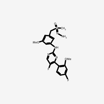 COc1cc(CS(C)(=O)=NN)cc(Nc2ncc(F)c(-c3ccc(F)cc3OC)n2)c1